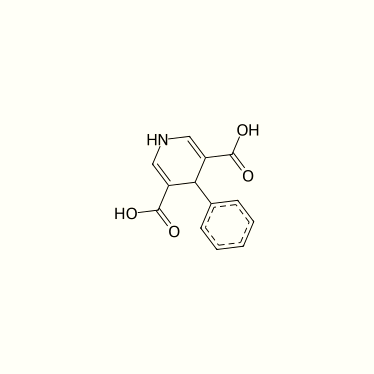 O=C(O)C1=CNC=C(C(=O)O)C1c1ccccc1